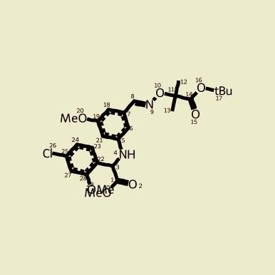 COC(=O)C(Nc1cc(C=NOC(C)(C)C(=O)OC(C)(C)C)cc(OC)c1)c1ccc(Cl)cc1OC